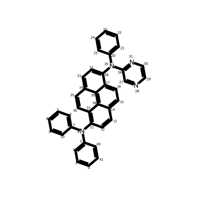 c1ccc(N(c2ccccc2)c2ccc3ccc4c(N(c5ccccc5)c5cnccn5)ccc5ccc2c3c54)cc1